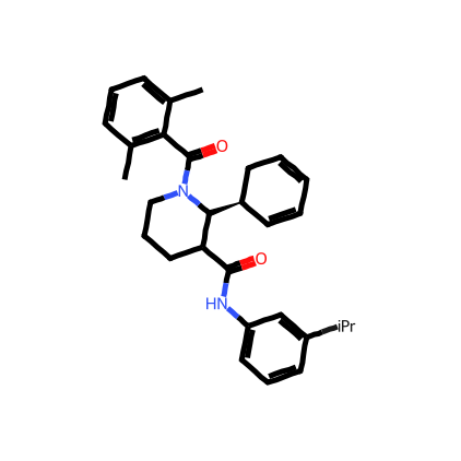 Cc1cccc(C)c1C(=O)N1CCCC(C(=O)Nc2cccc(C(C)C)c2)C1[C@@H]1C=CC=CC1